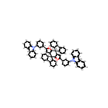 c1cc(-c2cc3c(o2)C2(c4ccccc4-c4ccccc42)c2cc(-c4cccc(-n5c6ccccc6c6ccccc65)c4)oc2C32c3ccccc3-c3ccccc32)cc(-n2c3ccccc3c3ccccc32)c1